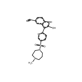 CN1CCCN(S(=O)(=O)c2ccc(-c3c(O)[nH]c4ccc(C#N)cc34)nc2)CC1